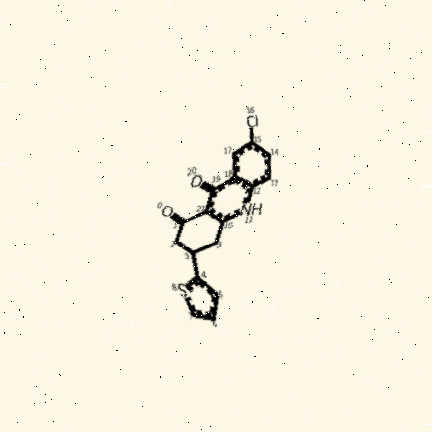 O=C1CC(c2cccs2)Cc2[nH]c3ccc(Cl)cc3c(=O)c21